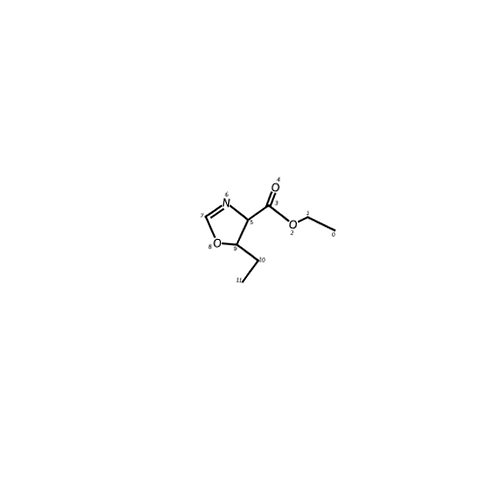 CCOC(=O)C1N=COC1CC